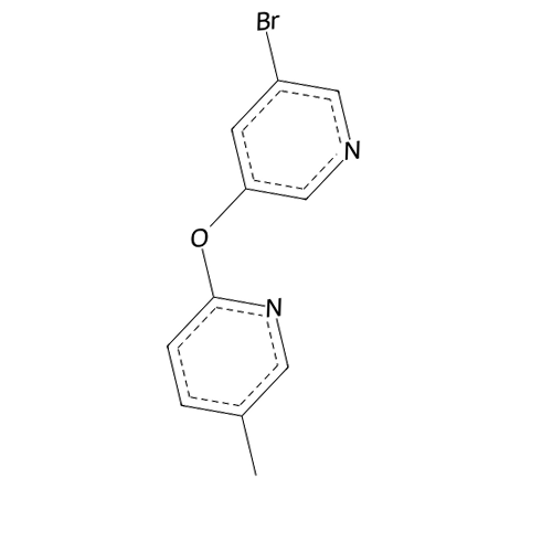 Cc1ccc(Oc2cncc(Br)c2)nc1